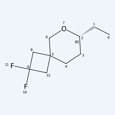 CC[C@@H]1CCC2(CO1)CC(F)(F)C2